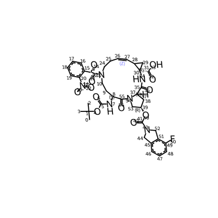 CC(C)(C)OC(=O)N[C@H]1CCN(S(=O)(=O)c2ccccc2[N+](=O)[O-])CC/C=C\C2C[C@@]2(C(=O)O)NC(=O)[C@@H]2C[C@@H](OC(=O)N3Cc4cccc(F)c4C3)CN2C1=O